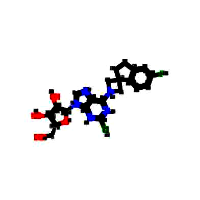 OC[C@H]1O[C@@H](n2cnc3c(N4CC5(CCc6cc(F)ccc65)C4)nc(Cl)nc32)[C@H](O)[C@@H]1O